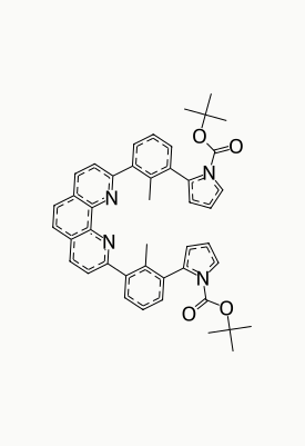 Cc1c(-c2ccc3ccc4ccc(-c5cccc(-c6cccn6C(=O)OC(C)(C)C)c5C)nc4c3n2)cccc1-c1cccn1C(=O)OC(C)(C)C